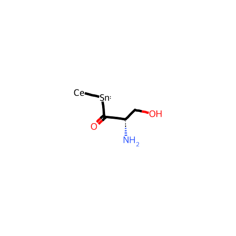 N[C@@H](CO)[C](=O)[Sn][Ce]